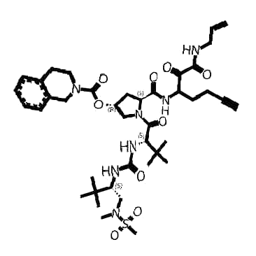 C#CCCC(NC(=O)[C@@H]1C[C@@H](OC(=O)N2CCc3ccccc3C2)CN1C(=O)[C@@H](NC(=O)N[C@H](CN(C)S(C)(=O)=O)C(C)(C)C)C(C)(C)C)C(=O)C(=O)NCC=C